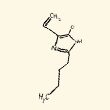 C=Cc1nc(CCCC)[nH]c1Cl